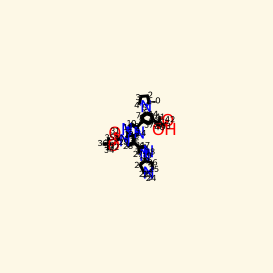 C[C@@H]1CCCN1c1cc(-c2cnc3c(n2)c(-c2cnn(C4CCN(C)CC4)c2)cn3C(=O)OC(C)(C)C)cc(C2(O)COC2)c1